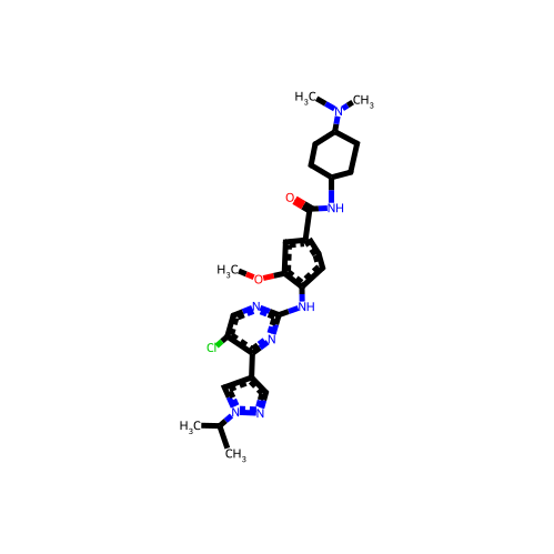 COc1cc(C(=O)NC2CCC(N(C)C)CC2)ccc1Nc1ncc(Cl)c(-c2cnn(C(C)C)c2)n1